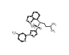 CN(C)CCN(c1cccc2cnn(C)c12)S(=O)(=O)c1cnn(-c2cc(C(F)(F)F)ccn2)c1